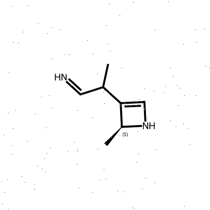 CC(C=N)C1=CN[C@H]1C